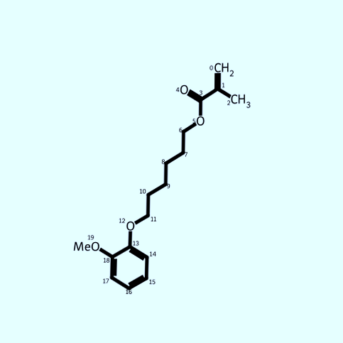 C=C(C)C(=O)OCCCCCCOc1ccccc1OC